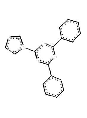 c1ccc(-c2nc(-c3ccccc3)nc(-n3ccnc3)n2)cc1